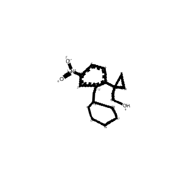 O=[N+]([O-])c1ccc(C2(CO)CC2)c(C2CCCCC2)c1